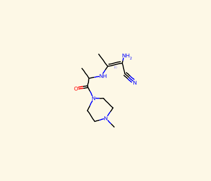 C/C(NC(C)C(=O)N1CCN(C)CC1)=C(\N)C#N